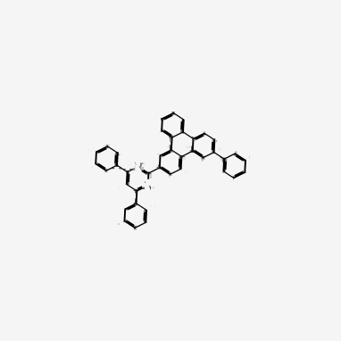 c1ccc(-c2ccc3c4ccccc4c4cc(-c5nc(-c6ccccc6)cc(-c6ccccc6)n5)ccc4c3c2)cc1